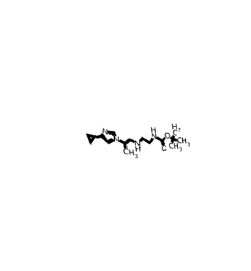 CC(CNCCNC(=O)OC(C)(C)C)n1cnc(C2CC2)c1